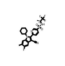 Cc1cc2c(cc1F)c(C#N)c(-c1ccc(S(=O)(=O)N[C@@H](C)C(F)(F)F)cn1)n2C1CCCCC1